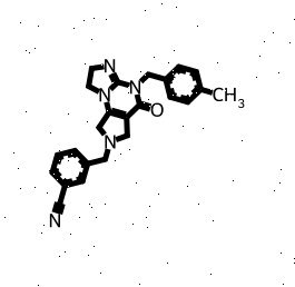 Cc1ccc(CN2C(=O)C3=C(CN(Cc4cccc(C#N)c4)C3)N3CCN=C23)cc1